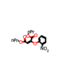 CCCOC(=O)/C=C(/Oc1ccccc1[N+](=O)[O-])C(=O)OCCC